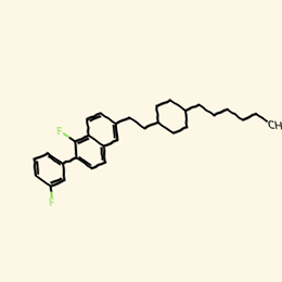 CCCCCCC1CCC(CCc2ccc3c(F)c(-c4cccc(F)c4)ccc3c2)CC1